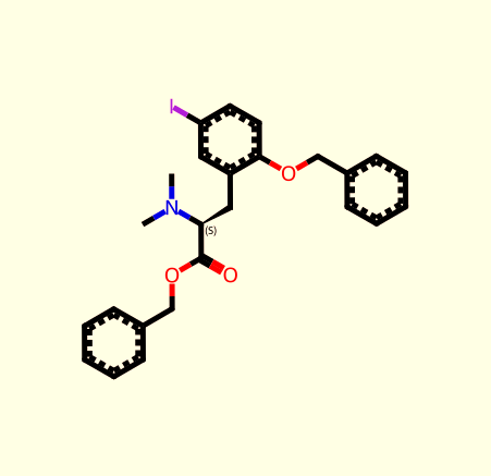 CN(C)[C@@H](Cc1cc(I)ccc1OCc1ccccc1)C(=O)OCc1ccccc1